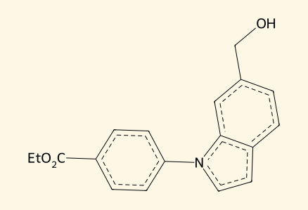 CCOC(=O)c1ccc(-n2ccc3ccc(CO)cc32)cc1